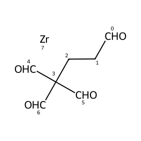 O=CCCC(C=O)(C=O)C=O.[Zr]